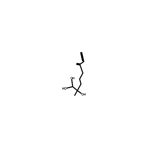 C=CC(=C)CCCC(C)(O)C(O)O